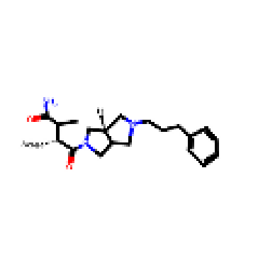 CC(=O)N[C@@H](C(=O)N1CC2CN(CC[CH]c3ccccc3)C[C@H]2C1)C(C)C(N)=O